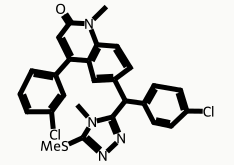 CSc1nnc(C(c2ccc(Cl)cc2)c2ccc3c(c2)c(-c2cccc(Cl)c2)cc(=O)n3C)n1C